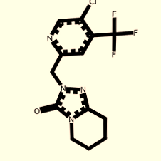 O=c1n(Cc2cc(C(F)(F)F)c(Cl)cn2)nc2n1CCCC2